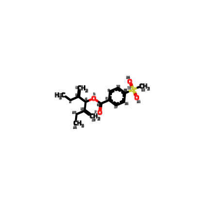 C=C(CC)C(OC(=O)c1ccc(S(C)(=O)=O)cc1)C(=C)CC